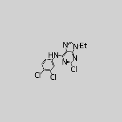 CCn1cnc2c(Nc3ccc(Cl)c(Cl)c3)nc(Cl)nc21